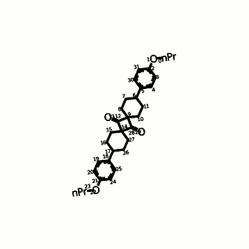 CCCOc1ccc(C2CCC3(CC2)C(=O)C2(CCC(c4ccc(OCCC)cc4)CC2)C3=O)cc1